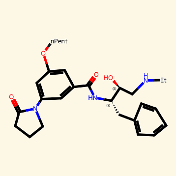 CCCCCOc1cc(C(=O)N[C@@H](Cc2ccccc2)[C@@H](O)CNCC)cc(N2CCCC2=O)c1